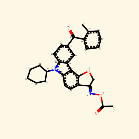 CC(=O)O/N=C1\COc2c1ccc1c2c2cc(C(=O)c3ccccc3C)ccc2n1C1CCCCC1